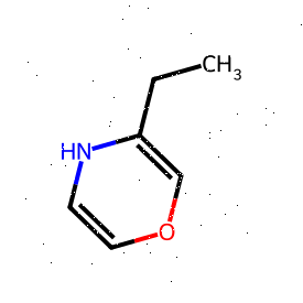 CCC1=COC=CN1